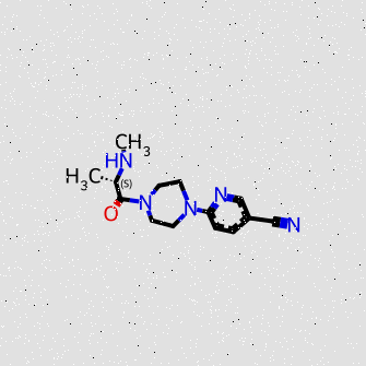 CN[C@@H](C)C(=O)N1CCN(c2ccc(C#N)cn2)CC1